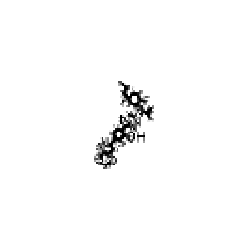 CCC[C@]1(C)CC[C@H](F)[C@H](N(c2cnc(-c3ccc(-c4cc5c(nn4)OCCO5)cc3O)nn2)C2CC2)C1